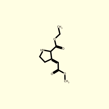 CCOC(=O)C1NCCC1=CC(=O)OC